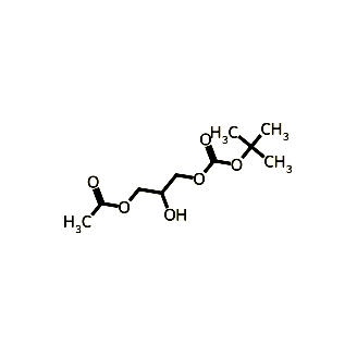 CC(=O)OCC(O)COC(=O)OC(C)(C)C